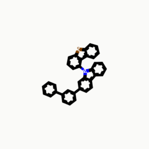 c1ccc(-c2cccc(-c3ccc4c5ccccc5n(-c5cccc6sc7ccccc7c56)c4c3)c2)cc1